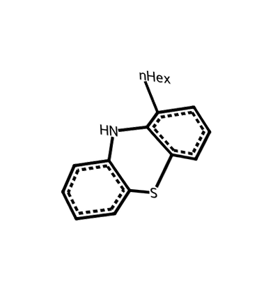 CCCCCCc1cccc2c1Nc1ccccc1S2